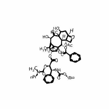 CCCN(C)C(=O)O[C@@H](C(=O)O[C@H]1C[C@@]2(O)[C@@H](OC(=O)c3ccccc3)[C@@H]3[C@]4(OC(C)=O)CO[C@@H]4C[C@H](O)[C@@]3(C)C(=O)[C@H](O)C(=C1C)C2(C)C)[C@@H](NC(=O)OC(C)(C)C)c1ccccc1